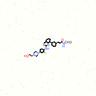 O=CNC(=O)C=Cc1cccc(-c2cccc3cnc(Nc4ccc(N5CCN(CCO)CC5)cc4F)nc23)c1